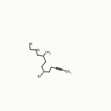 CC#CCCN(CC)CCC(C)CNCC(C)C